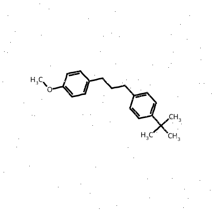 COc1ccc(CCCc2ccc(C(C)(C)C)cc2)cc1